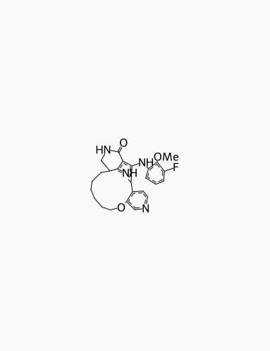 COc1c(F)cccc1Nc1c2[nH]c3c1C(=O)NCC3CCCCCCOc1cnccc1-2